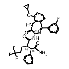 NC(=O)[C@@H](c1ccccc1)[C@@H](CCC(F)(F)F)C(=O)N[C@H]1N=C(c2cccc(F)c2)c2cccc(OC3CC3)c2NC1=O